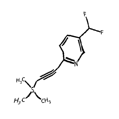 CS(C)(C)C#Cc1ccc(C(F)F)cn1